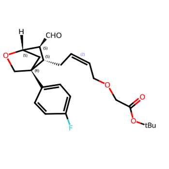 CC(C)(C)OC(=O)COC/C=C\C[C@H]1[C@H](C=O)[C@@H]2C[C@@]1(c1ccc(F)cc1)CO2